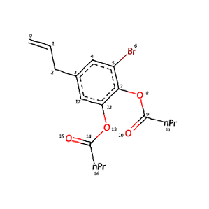 C=CCc1cc(Br)c(OC(=O)CCC)c(OC(=O)CCC)c1